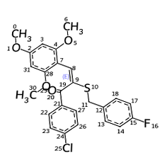 COc1cc(OC)c(/C=C(/SCc2ccc(F)cc2)C(=O)c2ccc(Cl)cc2)c(OC)c1